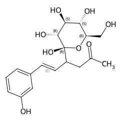 CC(=O)CC(/C=C/c1cccc(O)c1)[C@@]1(O)O[C@H](CO)[C@@H](O)[C@H](O)[C@H]1O